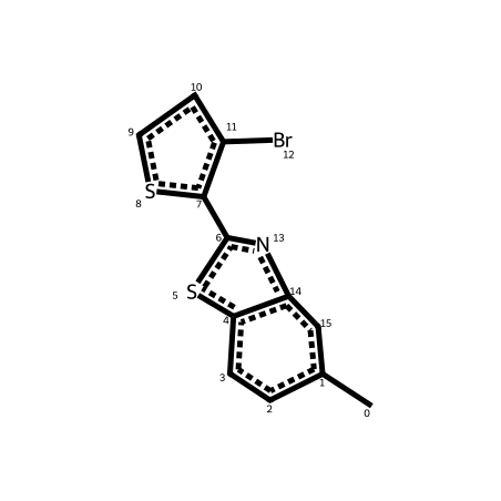 Cc1ccc2sc(-c3sccc3Br)nc2c1